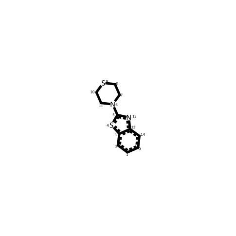 c1ccc2sc(N3CCSCC3)nc2c1